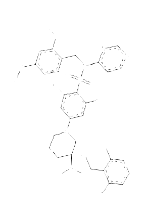 COc1ccc(CN(c2ccncn2)S(=O)(=O)c2c(F)cc(N3CCC[C@](CCc4c(Cl)cccc4Cl)(N(C)C)C3)cc2F)c(OC)c1